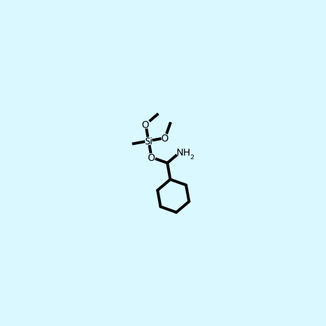 CO[Si](C)(OC)OC(N)C1CCCCC1